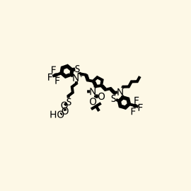 CCCCCN1/C(=C/C=C2\CCC(/C=C/c3sc4ccc(C(F)(F)F)cc4[n+]3CCCCSOOO)=C2N(C)C(=O)OC(C)(C)C)Sc2ccc(C(F)(F)F)cc21